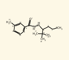 CCCC(NNC(=O)c1cccc(C)c1)C(C)(C)C